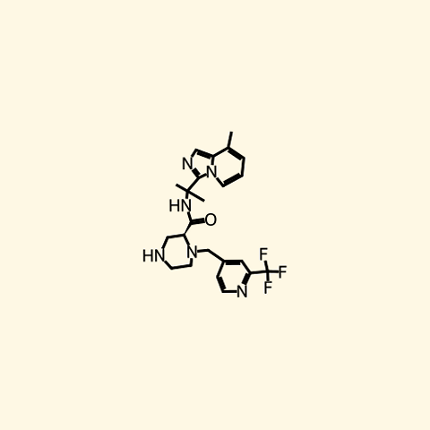 Cc1cccn2c(C(C)(C)NC(=O)[C@@H]3CNCCN3Cc3ccnc(C(F)(F)F)c3)ncc12